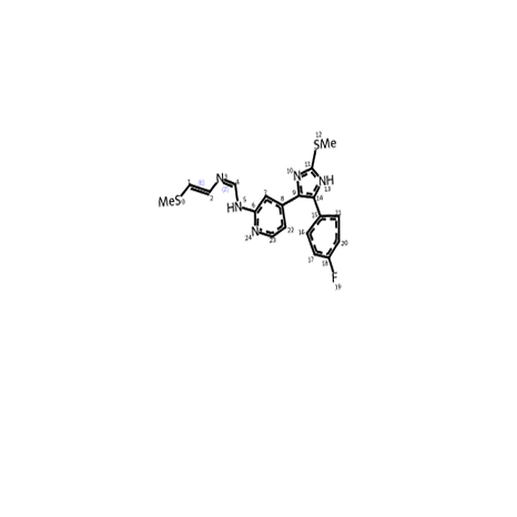 CS/C=C/N=C\Nc1cc(-c2nc(SC)[nH]c2-c2ccc(F)cc2)ccn1